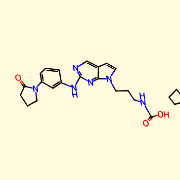 C1CCC1.O=C(O)NCCCn1ccc2cnc(Nc3cccc(N4CCCC4=O)c3)nc21